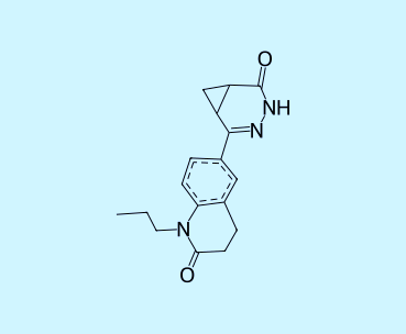 CCCN1C(=O)CCc2cc(C3=NNC(=O)C4CC34)ccc21